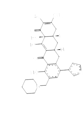 CC(=O)C1=C(C)C[C@@H]2C[C@@H]3Cc4c(-c5ccoc5)cc(CN5CCCCC5)c(O)c4C(=O)C3=C(O)[C@]2(O)C1=O